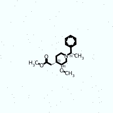 COC(=O)C[C@@H]1CCN([C@@H](C)c2ccccc2)C[C@@H]1OC